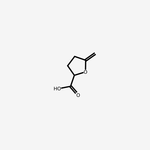 C=C1CCC(C(=O)O)O1